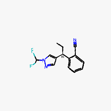 CC[C@H](c1cnn(C(F)F)c1)c1ccccc1C#N